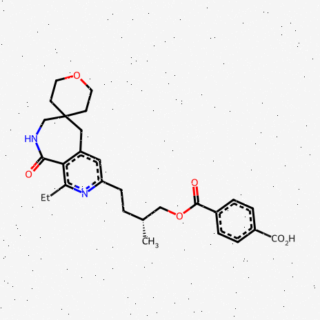 CCc1nc(CC[C@@H](C)COC(=O)c2ccc(C(=O)O)cc2)cc2c1C(=O)NCC1(CCOCC1)C2